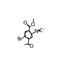 [C-]#[N+]c1cc(C(C)=O)c(Br)cc1C(=O)OC